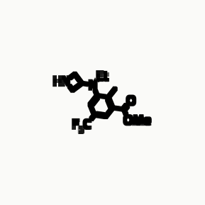 CCN(c1cc(C(F)(F)F)cc(C(=O)OC)c1C)C1CNC1